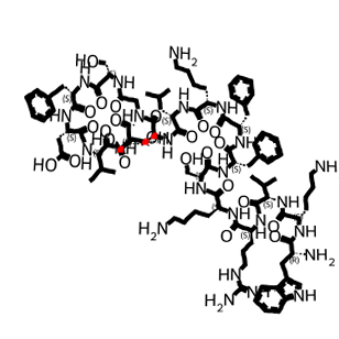 CC(C)C[C@H](NC(=O)[C@H](CCCCN)NC(=O)[C@H](Cc1ccccc1)NC(=O)[C@H](Cc1ccccc1)NC(=O)[C@H](CO)NC(=O)[C@H](CCCCN)NC(=O)[C@H](CCCNC(=N)N)NC(=O)[C@@H](NC(=O)[C@H](CCCCN)NC(=O)[C@H](N)Cc1c[nH]c2ccccc12)C(C)C)C(=O)N[C@@H](CCC(=O)O)C(=O)NCC(=O)N[C@@H](CO)C(=O)N[C@@H](Cc1ccccc1)C(=O)N[C@@H](CC(=O)O)C(=O)N[C@H](C(=O)N[C@H]([C]=O)CO)C(C)C